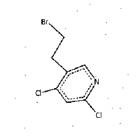 Clc1cc(Cl)c(CCBr)cn1